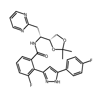 CC1(C)OC[C@@H]([C@@H](Cc2ncccn2)NC(=O)c2cccc(F)c2-c2cc(-c3ccc(F)cc3)[nH]n2)O1